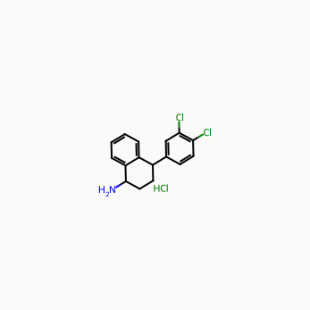 Cl.NC1CCC(c2ccc(Cl)c(Cl)c2)c2ccccc21